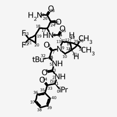 CC(C)[C@H](NC(=O)N[C@H](C(=O)N1C[C@H]2[C@@H]([C@H]1C(=O)NC(CC1CC1(F)F)C(=O)C(N)=O)C2(C)C)C(C)(C)C)C(=O)c1ccccc1